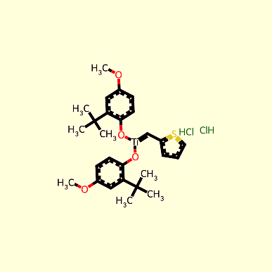 COc1ccc([O][Ti](=[CH]c2cccs2)[O]c2ccc(OC)cc2C(C)(C)C)c(C(C)(C)C)c1.Cl.Cl